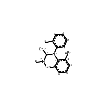 [CH2]c1ccccc1N(c1c([CH2])cccc1Br)C(CC)N(C)C